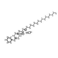 CCCCCCCCCCCCCCCCOCC(O)CN1CCN(Cc2ccccc2)CC1.Cl